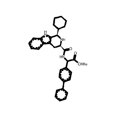 COC(=O)C(NC(=O)[C@H]1Cc2c([nH]c3ccccc23)[C@@H](C2CCCCC2)N1)c1ccc(-c2ccccc2)cc1